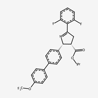 CC(C)OC(=O)[C@H]1CC(c2c(F)cccc2F)=N[C@H]1c1ccc(-c2ccc(OC(F)(F)F)cc2)cc1